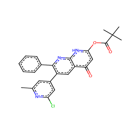 Cc1cc(-c2cc3c(=O)cc(OC(=O)C(C)(C)C)[nH]c3nc2-c2ccccc2)cc(Cl)n1